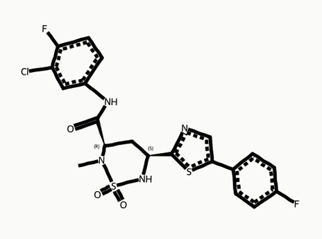 CN1[C@@H](C(=O)Nc2ccc(F)c(Cl)c2)C[C@@H](c2ncc(-c3ccc(F)cc3)s2)NS1(=O)=O